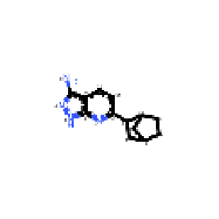 Nc1n[nH]c2nc(C3CC4CCC3C4)ccc12